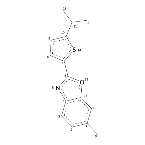 Cc1ccc2nc(-c3ccc(C(C)C)s3)oc2c1